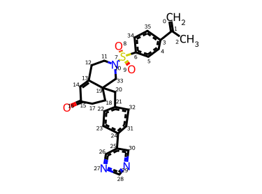 C=C(C)c1ccc(S(=O)(=O)N2CCC3=CC(=O)CCC3(Cc3ccc(-c4cncnc4)cc3)C2)cc1